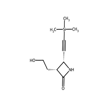 C[Si](C)(C)C#C[C@@H]1NC(=O)[C@@H]1CCO